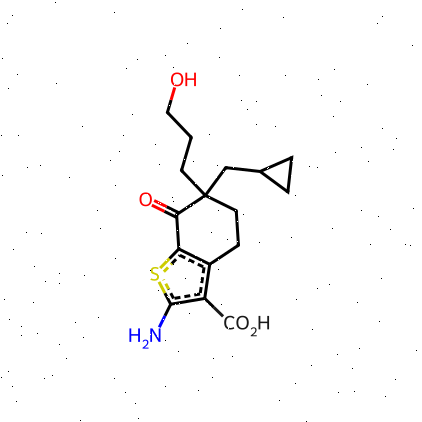 Nc1sc2c(c1C(=O)O)CCC(CCCO)(CC1CC1)C2=O